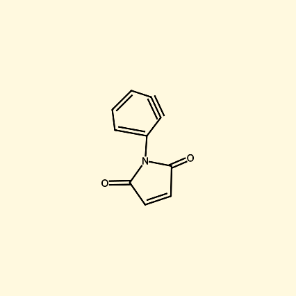 O=C1C=CC(=O)N1c1c#cccc1